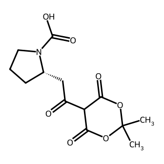 CC1(C)OC(=O)C(C(=O)C[C@@H]2CCCN2C(=O)O)C(=O)O1